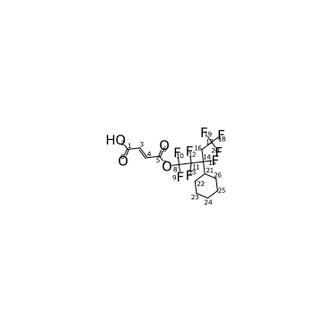 O=C(O)C=CC(=O)OC(F)(F)C(F)(F)C(F)(CC(F)(F)F)C1CCCCC1